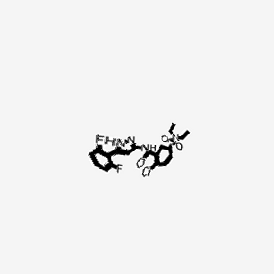 CCN(CC)S(=O)(=O)c1ccc(Cl)c(C(=O)Nc2cc(-c3c(F)cccc3F)[nH]n2)c1